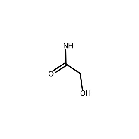 [NH]C(=O)CO